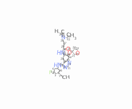 C#Cc1cc(F)cc(Nc2ncnc3cc(O[C@H]4CCOC4)c(NC(=O)C=CCN(CC)CC)cc23)c1